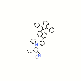 C/N=C\c1cc(C#N)cc(N(c2ccccc2)c2cccc(-c3ccc4c5c(cccc35)-c3c-4c(-c4ccccc4)c4ccccc4c3-c3ccccc3)c2)c1